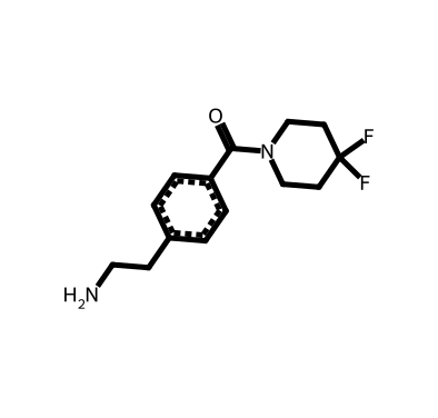 NCCc1ccc(C(=O)N2CCC(F)(F)CC2)cc1